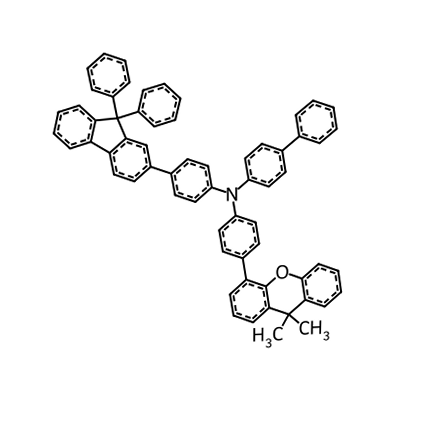 CC1(C)c2ccccc2Oc2c(-c3ccc(N(c4ccc(-c5ccccc5)cc4)c4ccc(-c5ccc6c(c5)C(c5ccccc5)(c5ccccc5)c5ccccc5-6)cc4)cc3)cccc21